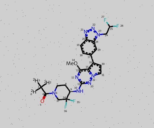 [2H]C([2H])([2H])C(=O)N1CC[C@@H](Nc2nc(OC)c3c(-c4ccc5nnn(CC(F)F)c5c4)ccn3n2)C(F)(F)C1